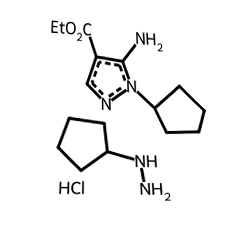 CCOC(=O)c1cnn(C2CCCC2)c1N.Cl.NNC1CCCC1